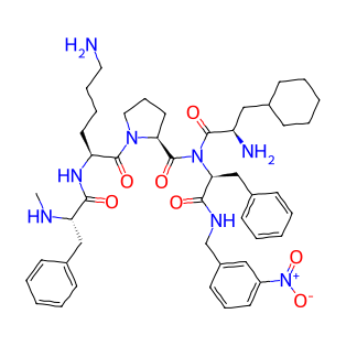 CN[C@@H](Cc1ccccc1)C(=O)N[C@@H](CCCCN)C(=O)N1CCC[C@H]1C(=O)N(C(=O)[C@H](N)CC1CCCCC1)[C@@H](Cc1ccccc1)C(=O)NCc1cccc([N+](=O)[O-])c1